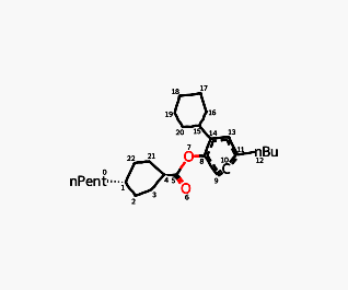 CCCCC[C@H]1CC[C@H](C(=O)Oc2ccc(CCCC)cc2C2CCCCC2)CC1